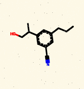 CCCc1cc(C#N)cc([C](C)CO)c1